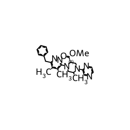 COC(=O)[C@H]1CN(c2cnccn2)C(C)CN1c1nnc(Cc2ccccc2)c(C)c1C